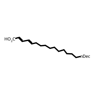 CCCCCCCCCCCCCCCCCCCC/C=C/C=C/C(=O)O